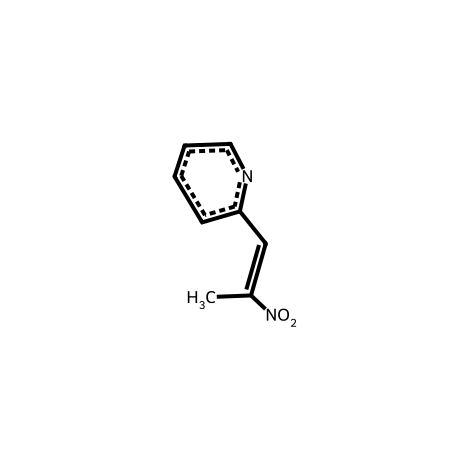 CC(=Cc1ccccn1)[N+](=O)[O-]